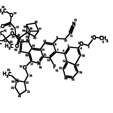 COCOc1cc(-c2c(CCC#N)cc3c(nc(OCC4CCCN4C)c4cc(CCC(=O)OC)n(C5C6CC5N(C(=O)OC(C)(C)C)C6)c43)c2F)c2ccccc2c1